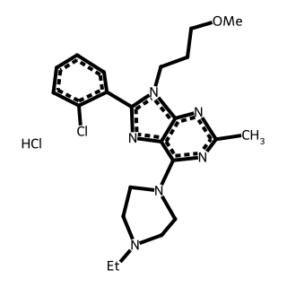 CCN1CCN(c2nc(C)nc3c2nc(-c2ccccc2Cl)n3CCCOC)CC1.Cl